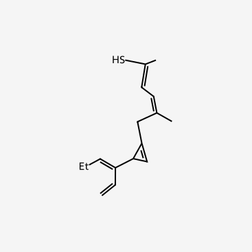 C=C/C(=C\CC)C1C=C1C/C(C)=C\C=C(/C)S